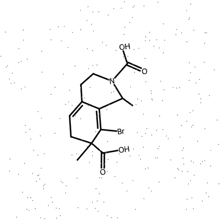 CC1C2=C(Br)C(C)(C(=O)O)CC=C2CCN1C(=O)O